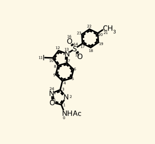 CC(=O)Nc1nc(-c2ccc3c(c2)c(I)cn3S(=O)(=O)c2ccc(C)cc2)no1